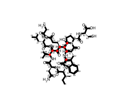 CC[C@H](C)[C@H](NC(=O)CNC(=O)[C@H](CO)NC(=O)[C@H](CC(C)C)NC(=O)[C@H](CC(C)C)NC(=O)CN)C(=O)N[C@@H](CC(N)=O)C(=O)N[C@@H](C)C(=O)N[C@@H](CCC(=O)O)C(=O)N[C@@H](Cc1c[nH]c2ccccc12)C(=O)N1CCC[C@H]1C(=O)N[C@@H](CS)C(=O)O